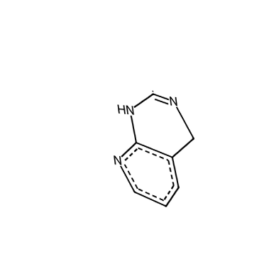 [C]1=NCc2cccnc2N1